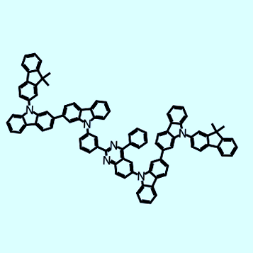 CC1(C)c2ccccc2-c2ccc(-n3c4ccccc4c4ccc(-c5ccc6c7ccccc7n(-c7cccc(-c8nc(-c9ccccc9)c9cc(-n%10c%11ccccc%11c%11ccc(-c%12ccc%13c%14ccccc%14n(-c%14ccc%15c(c%14)C(C)(C)c%14ccccc%14-%15)c%13c%12)cc%11%10)ccc9n8)c7)c6c5)cc43)cc21